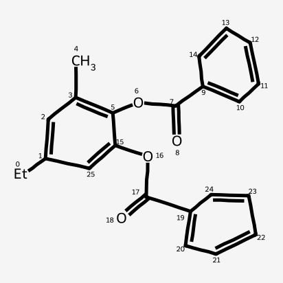 CCc1cc(C)c(OC(=O)c2ccccc2)c(OC(=O)c2ccccc2)c1